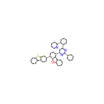 c1ccc(-c2nc(-c3ccccc3-c3ccccn3)cc(-c3ccc(-c4ccc5c(c4)sc4ccccc45)c4oc5ccccc5c34)n2)cc1